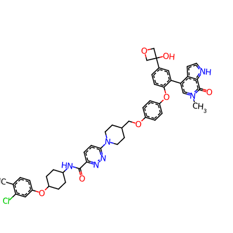 Cn1cc(-c2cc(C3(O)COC3)ccc2Oc2ccc(OCC3CCN(c4ccc(C(=O)NC5CCC(Oc6ccc(C#N)c(Cl)c6)CC5)nn4)CC3)cc2)c2cc[nH]c2c1=O